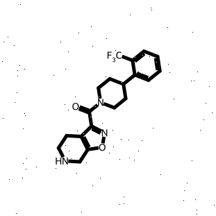 O=C(c1noc2c1CCNC2)N1CCC(c2ccccc2C(F)(F)F)CC1